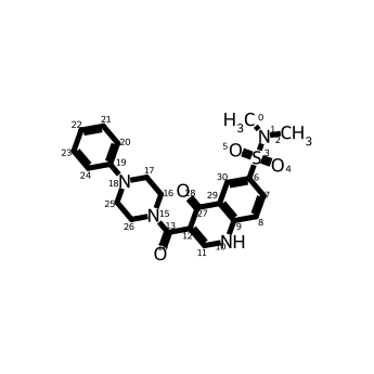 CN(C)S(=O)(=O)c1ccc2[nH]cc(C(=O)N3CCN(c4ccccc4)CC3)c(=O)c2c1